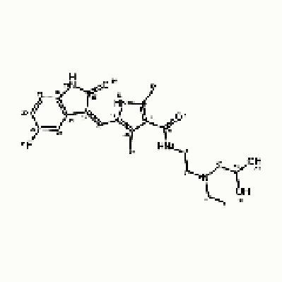 CCN(CCNC(=O)c1c(C)[nH]c(/C=C2\C(=O)Nc3ccc(F)cc32)c1C)CC(O)O